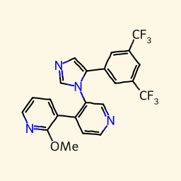 COc1ncccc1-c1ccncc1-n1cncc1-c1cc(C(F)(F)F)cc(C(F)(F)F)c1